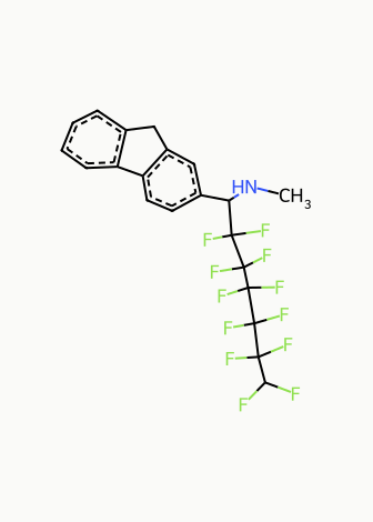 CNC(c1ccc2c(c1)Cc1ccccc1-2)C(F)(F)C(F)(F)C(F)(F)C(F)(F)C(F)(F)C(F)F